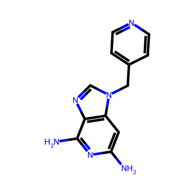 Nc1cc2c(ncn2Cc2ccncc2)c(N)n1